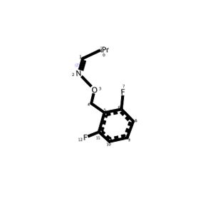 CC(C)/[C]=N\OCc1c(F)cccc1F